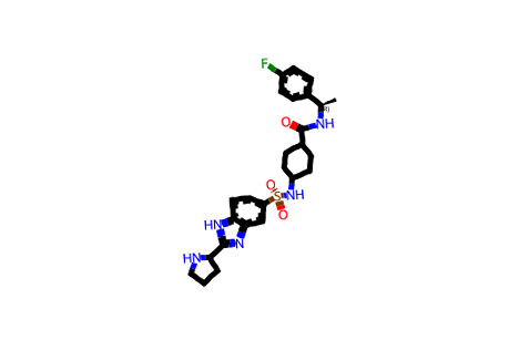 C[C@@H](NC(=O)C1CCC(NS(=O)(=O)c2ccc3[nH]c(C4CCCN4)nc3c2)CC1)c1ccc(F)cc1